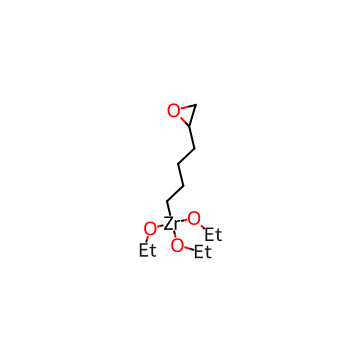 CC[O][Zr]([CH2]CCCC1CO1)([O]CC)[O]CC